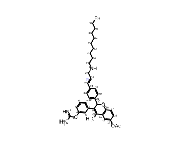 CC(=N)Oc1cccc(C2=C(C)c3cc(OC(C)=O)ccc3OC2c2ccc(/C=C/CNCCCCCCCCCF)cc2)c1